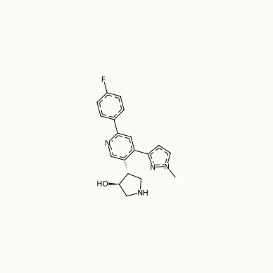 Cn1ccc(-c2cc(-c3ccc(F)cc3)ncc2[C@@H]2CNC[C@H]2O)n1